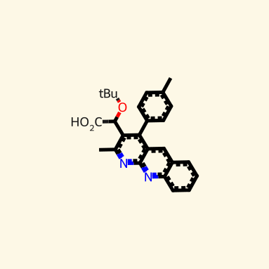 Cc1ccc(-c2c(C(OC(C)(C)C)C(=O)O)c(C)nc3nc4ccccc4cc23)cc1